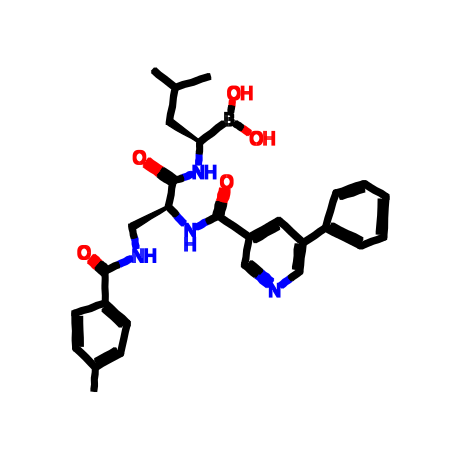 Cc1ccc(C(=O)NC[C@H](NC(=O)c2cncc(-c3ccccc3)c2)C(=O)N[C@@H](CC(C)C)B(O)O)cc1